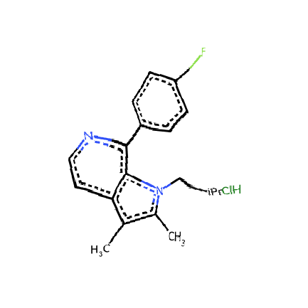 Cc1c(C)n(CC(C)C)c2c(-c3ccc(F)cc3)nccc12.Cl